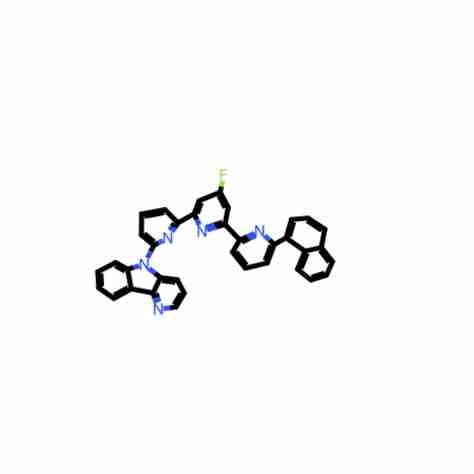 Fc1cc(-c2cccc(-c3cccc4ccccc34)n2)nc(-c2cccc(-n3c4ccccc4c4ncccc43)n2)c1